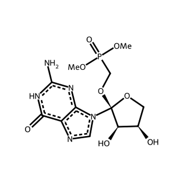 COP(=O)(CO[C@@]1(n2cnc3c(=O)[nH]c(N)nc32)OC[C@@H](O)[C@H]1O)OC